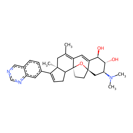 CC1=C2C=C3[C@@H](O)[C@H](O)[C@@H](N(C)C)C[C@]34CC[C@]2(O4)C2CC=C(c3ccc4cncnc4c3)[C@@]2(C)C1